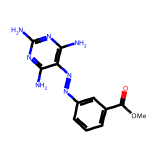 COC(=O)c1cccc(N=Nc2c(N)nc(N)nc2N)c1